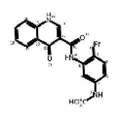 CC(C)c1ccc(NC(=O)O)cc1NC(=O)c1c[nH]c2ccccc2c1=O